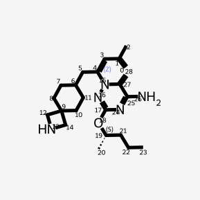 C=C(C)/C=C(/CC1CCC2(CC1)CNC2)N1N=C(O[C@@H](C)CCC)N=C(N)C1=C